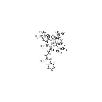 CC1=C([PH2]=O)C(OC(C)C(C)C)(c2cccc([N+](=O)[O-])c2)C(C(=O)OCCN(C)Cc2ccccc2)=C(C)N1OC(C)C(C)C